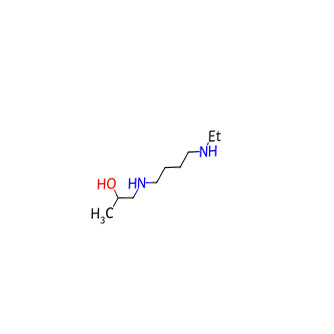 CCNCCCCNCC(C)O